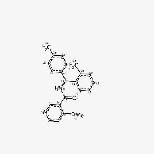 COc1ccncc1C(=O)N[C@@H](c1ccc(C(F)(F)F)cc1)c1ncccc1C(F)(F)F